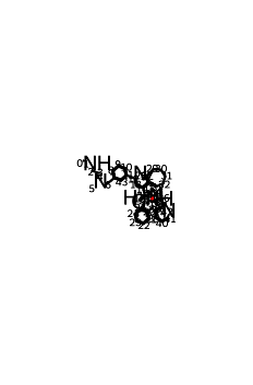 CNCCN(C)Cc1cccc(-c2cc(C(=O)N[C@@H](C)c3ccccc3)c3c(n2)=CCCCC=3N(N)Cc2ccccn2)c1